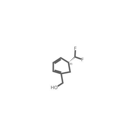 OCC1=CC=C[C@H](C(F)F)C1